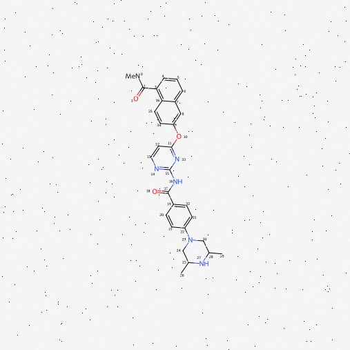 CNC(=O)c1cccc2cc(Oc3ccnc(NC(=O)c4ccc(N5CC(C)NC(C)C5)cc4)n3)ccc12